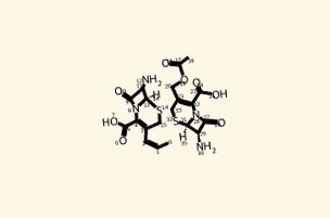 C/C=C\C1=C(C(=O)O)N2C(=O)C(N)[C@H]2SC1.CC(=O)OCC1=C(C(=O)O)N2C(=O)[C@@H](N)[C@H]2SC1